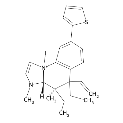 C=CC1(CC)c2ccc(-c3cccs3)cc2[N+]2(I)C=CN(C)[C@H]2[C@]1(C)CC